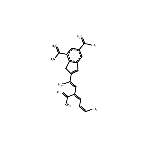 C=C(C)C(=C\C=C/C)/C=C(\C)C1=Nc2cc(C(=C)C)cc(C(=C)N)c2C1